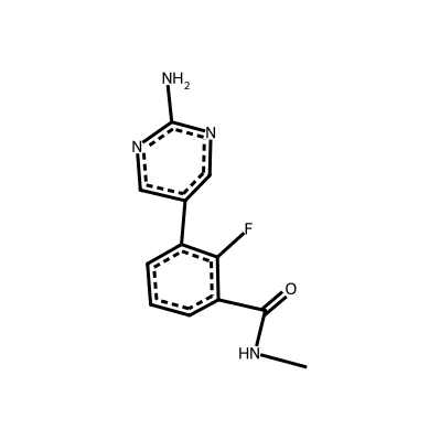 CNC(=O)c1cccc(-c2cnc(N)nc2)c1F